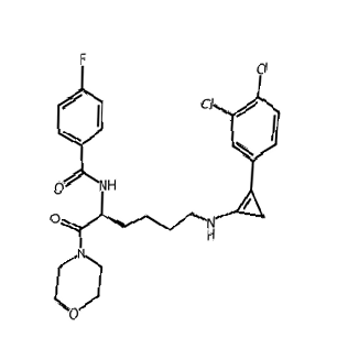 O=C(N[C@@H](CCCCNC1=C(c2ccc(Cl)c(Cl)c2)C1)C(=O)N1CCOCC1)c1ccc(F)cc1